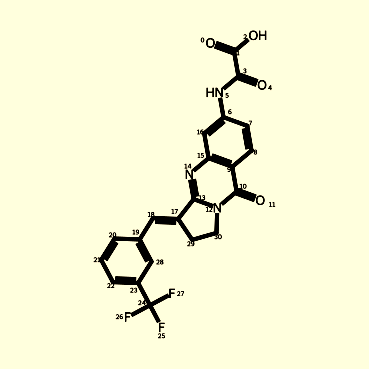 O=C(O)C(=O)Nc1ccc2c(=O)n3c(nc2c1)C(=Cc1cccc(C(F)(F)F)c1)CC3